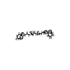 C1CCC(OCCCSCCCSCCCOC2CCCCO2)OC1